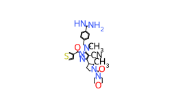 CC1C(c2nn(C(=O)c3ccsc3)c(N(C)Cc3ccc(C(=N)N)cc3)c2C#N)CCN1C(=O)N1CCOCC1